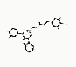 O=C(/C=C/c1cc(O)c(O)c(O)c1)NCc1cc2c([nH]c3ccccc32)c(-c2cccc(F)c2)n1